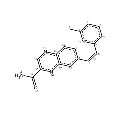 Cc1cccc(/C=C\c2ccc3ncc(C(N)=O)nc3c2)n1